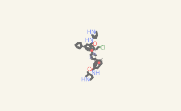 C=C(/C=C\C(=C/C)C1C2CC3(C(=O)NC4CC5CNC4C5)C[C@@](c4ccccc4)(C2)C[C@]1(CCCl)C3)[C@]12CC3CC(C(=O)NC4CCNCC4C)(C[C@](C)(C3)C1)C2